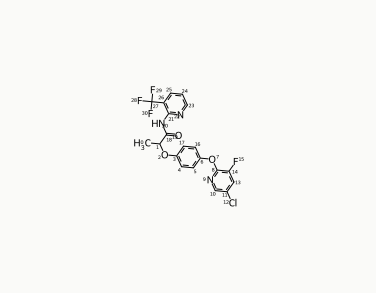 CC(Oc1ccc(Oc2ncc(Cl)cc2F)cc1)C(=O)Nc1ncccc1C(F)(F)F